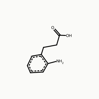 Nc1ccc[c]c1CCC(=O)O